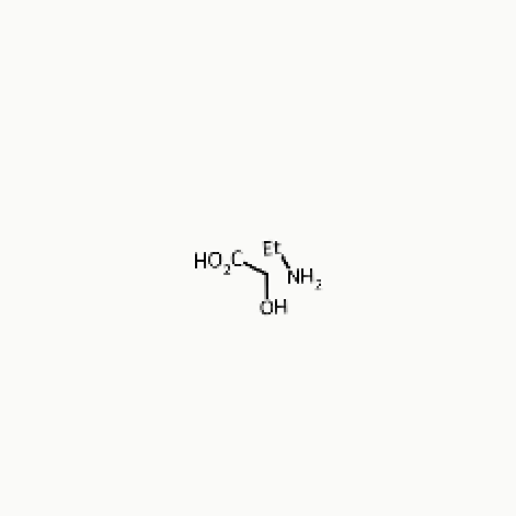 CCN.O=C(O)CO